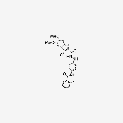 COc1cc2sc(C(=O)NNc3ccc(NC(=O)c4ccccc4C)cc3)c(Cl)c2cc1OC